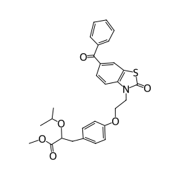 COC(=O)C(Cc1ccc(OCCn2c(=O)sc3cc(C(=O)c4ccccc4)ccc32)cc1)OC(C)C